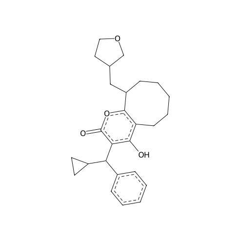 O=c1oc2c(c(O)c1C(c1ccccc1)C1CC1)CCCCCC2CC1CCOC1